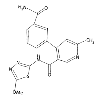 COc1nnc(NC(=O)c2cnc(C)cc2-c2cccc(C(N)=O)c2)s1